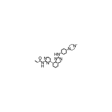 C=CC(=O)Nc1nccc(-c2cccc3cnc(Nc4ccc(N5CCN(C)CC5)cc4)nc23)n1